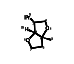 CC(C)[C@H]1CO[C@]2(C)CCO[C@H]12